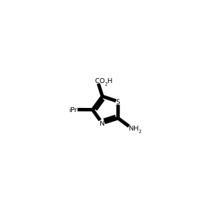 CC(C)c1nc(N)sc1C(=O)O